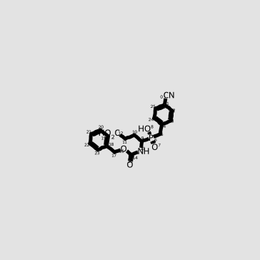 N#Cc1ccc(CP(=O)(O)C(CCC(=O)O)NC(=O)OCc2ccccc2)cc1